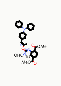 CCN(C=O)/C(=N\c1cc(C(=O)OC)ccc1C(=O)OC)O/C(C)=C/c1ccc(N(c2ccccc2)c2ccccc2)cc1